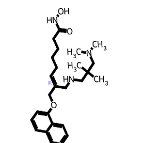 CN(C)CC(C)(C)CNC/C(=C\CCCCC(=O)NO)COc1cccc2ccccc12